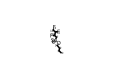 CCCC[O][Sn](=[O])[CH2]C(F)C(F)CF